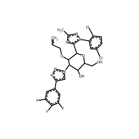 C=CCOC1C(c2nc(C)nn2-c2cc(Cl)ccc2Cl)OC(CO)C(O)C1n1cc(-c2cc(F)c(F)c(F)c2)nn1